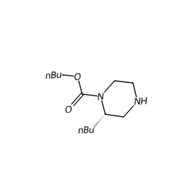 CCCCOC(=O)N1CCNC[C@@H]1CCCC